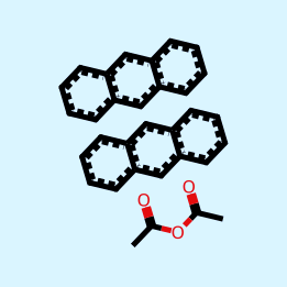 CC(=O)OC(C)=O.c1ccc2cc3ccccc3cc2c1.c1ccc2cc3ccccc3cc2c1